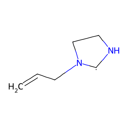 C=CCN1[CH]NCC1